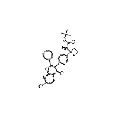 CC(C)(C)OC(=O)NC1(c2ccc(-c3c(-c4ccccc4)oc4nc(Cl)ccc4c3=O)cc2)CCC1